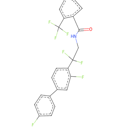 O=C(NCC(F)(F)c1ccc(-c2ccc(F)cc2)cc1F)c1ccccc1C(F)(F)F